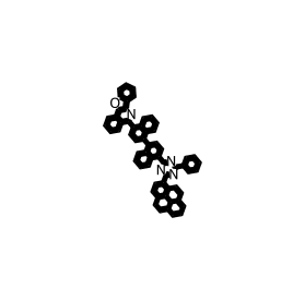 C1=CC2=CCc3ccc(-c4nc(-c5ccccc5)nc(-c5ccc(-c6ccc(-c7nc8c9ccccc9oc8c8ccccc78)c7ccccc67)c6ccccc56)n4)c4c3C2C(=C1)C=C4